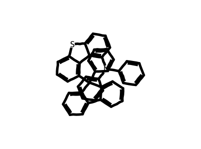 c1ccc(N(c2ccccc2)c2cccc3sc4cccc(C5(c6ccccc6)c6ccccc6-c6ccccc65)c4c23)cc1